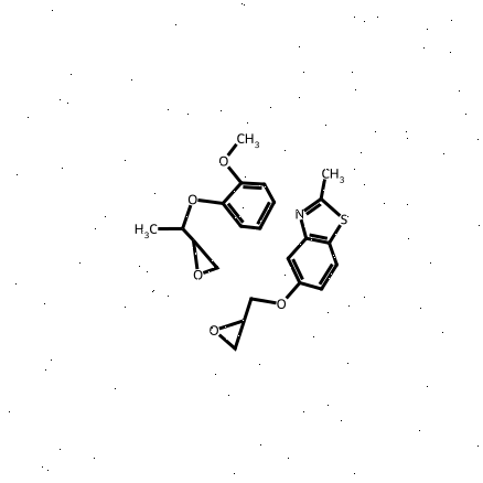 COc1ccccc1OC(C)C1CO1.Cc1nc2cc(OCC3CO3)ccc2s1